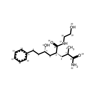 CC(C[C@H](C[C@@H](O)[CH]Cc1ccccc1)C(=O)NCCO)C(N)=O